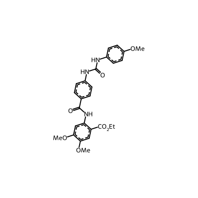 CCOC(=O)c1cc(OC)c(OC)cc1NC(=O)c1ccc(NC(=O)Nc2ccc(OC)cc2)cc1